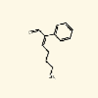 CCCC/C=C(/C=O)c1ccccc1